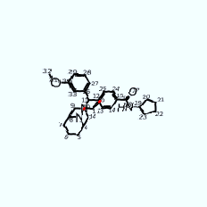 C=CCN1C2CCCC1CN(C(c1ccc(C(=O)NC3CCCC3)cc1)c1cccc(OC)c1)C2